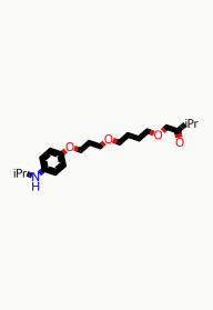 CC(C)Nc1ccc(OCCCOCCCCOCC(=O)C(C)C)cc1